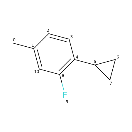 Cc1ccc(C2CC2)c(F)c1